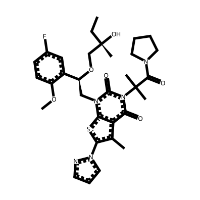 CC[C@](C)(O)CO[C@@H](Cn1c(=O)n(C(C)(C)C(=O)N2CCCC2)c(=O)c2c(C)c(-n3cccn3)sc21)c1cc(F)ccc1OC